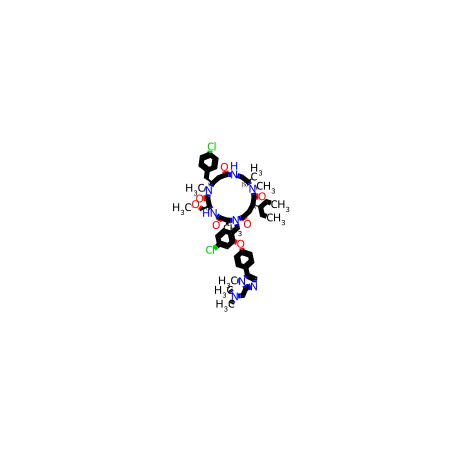 CCC(CC)[C@@H]1CC(=O)N(Cc2ccc(Cl)cc2Oc2ccc(-c3cnc(CN(C)C)n3C)cc2)[C@@H](C)C(=O)N[C@@H](COC)C(=O)N(C)[C@@H](Cc2ccc(Cl)cc2)CC(=O)NC[C@H](C)N(C)C1=O